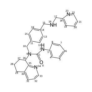 O=C(Nc1ccccc1)N(Cc1ccc(CNCc2ccccn2)cc1)C1CCCc2cccnc21